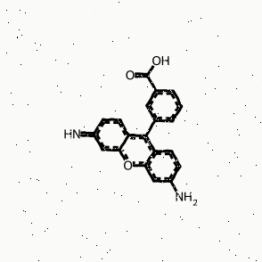 N=c1ccc2c(-c3cccc(C(=O)O)c3)c3ccc(N)cc3oc-2c1